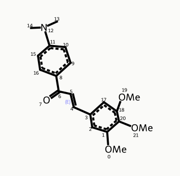 COc1cc(/C=C/C(=O)c2ccc(N(C)C)cc2)cc(OC)c1OC